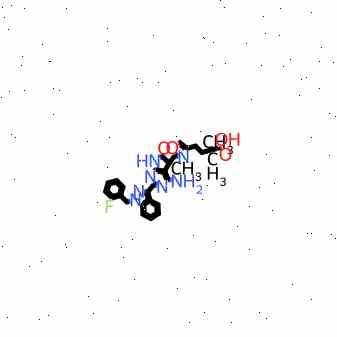 CC(C)(CCc1coc(C2(C)C(=O)Nc3nc(-c4nn(Cc5ccccc5F)c5ccccc45)nc(N)c32)n1)C(=O)O